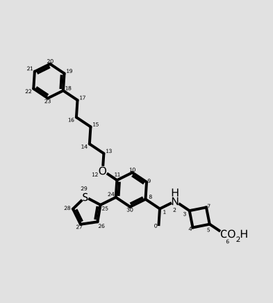 CC(NC1CC(C(=O)O)C1)c1ccc(OCCCCCc2ccccc2)c(-c2cccs2)c1